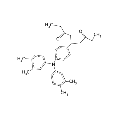 CCC(=O)CC(CC(=O)CC)c1ccc(N(c2ccc(C)c(C)c2)c2ccc(C)c(C)c2)cc1